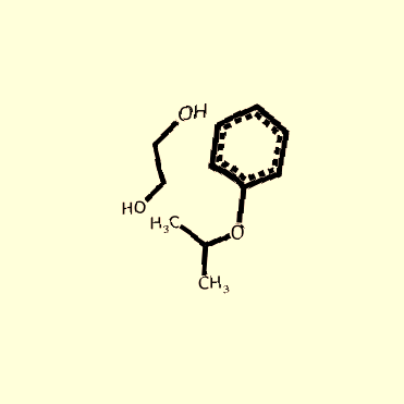 CC(C)Oc1ccccc1.OCCO